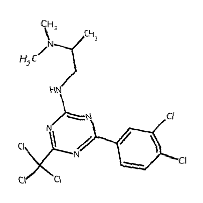 CC(CNc1nc(-c2ccc(Cl)c(Cl)c2)nc(C(Cl)(Cl)Cl)n1)N(C)C